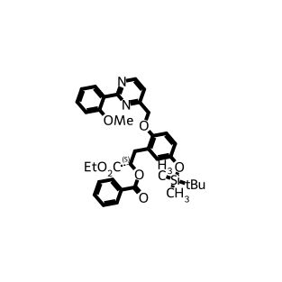 CCOC(=O)[C@H](Cc1cc(O[Si](C)(C)C(C)(C)C)ccc1OCc1ccnc(-c2ccccc2OC)n1)OC(=O)c1ccccc1